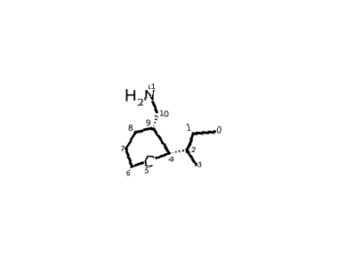 CCC(C)[C@@H]1CCCC[C@@H]1CN